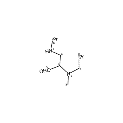 CC(C)CN(C)C(C=O)CNC(C)C